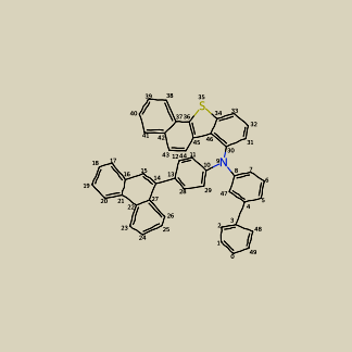 c1ccc(-c2cccc(N(c3ccc(-c4cc5ccccc5c5ccccc45)cc3)c3cccc4sc5c6ccccc6ccc5c34)c2)cc1